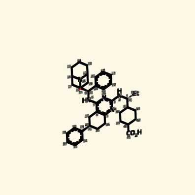 CC[C@@H](Nc1nc2c(c(N[C@@H](CN3C4CCCC3CCC4)c3ccccc3)n1)C[C@H](c1ccccc1)CC2)C1CCC(C(=O)O)CC1